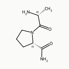 C[C@@H](N)C(=O)N1CCC[C@H]1C(N)=O